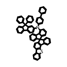 c1ccc(-c2ccc(N(c3ccc4c(c3)C(c3ccccc3)(c3ccccc3)c3ccccc3-4)c3cccc4c3-c3ccccc3C43c4ccccc4-c4c3ccc3c4sc4ccccc43)cc2)cc1